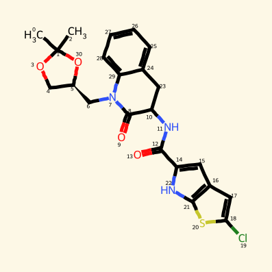 CC1(C)OC[C@H](CN2C(=O)C(NC(=O)c3cc4cc(Cl)sc4[nH]3)Cc3ccccc32)O1